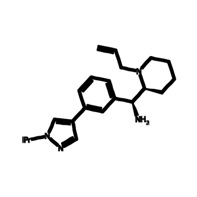 C=CCN1CCCC[C@H]1[C@@H](N)c1cccc(-c2cnn(C(C)C)c2)c1